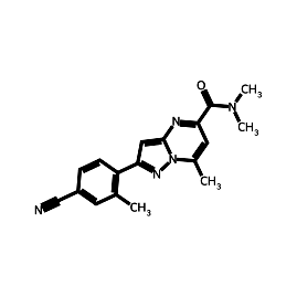 Cc1cc(C#N)ccc1-c1cc2nc(C(=O)N(C)C)cc(C)n2n1